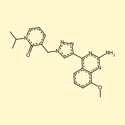 COc1cccc2c(-c3cn(Cc4cccn(C(C)C)c4=O)nn3)nc(N)nc12